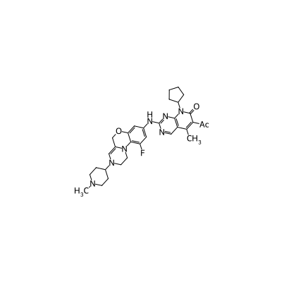 CC(=O)c1c(C)c2cnc(Nc3cc(F)c4c(c3)OCC3=CN(C5CCN(C)CC5)CCN34)nc2n(C2CCCC2)c1=O